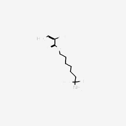 CC=C(C)C(=O)OCCCCCCC(C)(C)N